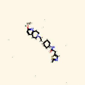 CCCOc1ccc2c(n1)CCN(CC[C@H]1CC[C@H](NC(=O)Cc3cnc(C)s3)CC1)CC2